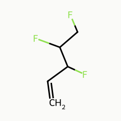 C=CC(F)C(F)CF